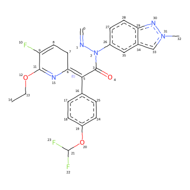 C=NN(C(=O)/C(=C1\CC=C(F)C(OCC)=N1)c1ccc(OC(F)F)cc1)c1ccc2nn(C)cc2c1